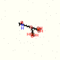 C=C(C)C(=O)NCCCCCCOC(CCCCP(=O)(O)O)CCCCP(=O)(O)O